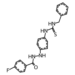 O=C(NNc1ccc(NC(=S)NCc2ccccc2)cc1)c1ccc(F)cc1